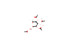 CC(=O)OC[C@@H]1OC(Br)[C@H](OC(C)=O)[C@H](OC(C)=O)[C@H]1OC(C)=O